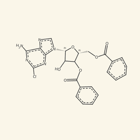 Nc1nc(Cl)nc2c1ncn2[C@@H]1O[C@H](COC(=O)c2ccccc2)C(OC(=O)c2ccccc2)C1O